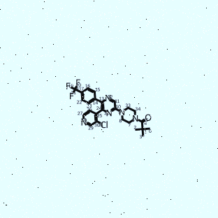 CC(C)(C)C(=O)N1CCN(c2cnc(-c3ccc(C(F)(F)F)cc3)c(-c3ccncc3Cl)n2)CC1